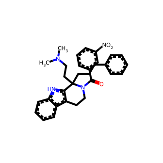 CN(C)CCC1(CCCc2ccccc2)c2[nH]c3ccccc3c2CCN1C(=O)c1cccc([N+](=O)[O-])c1